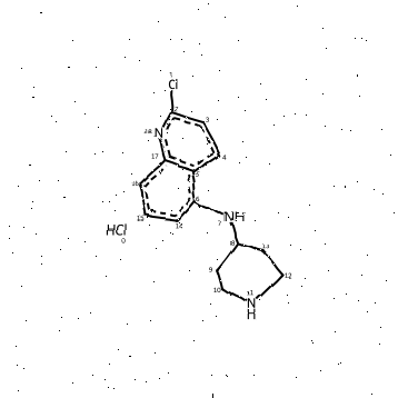 Cl.Clc1ccc2c(NC3CCNCC3)cccc2n1